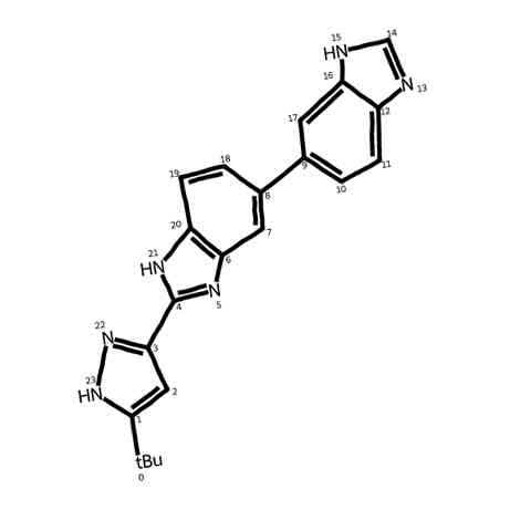 CC(C)(C)c1cc(-c2nc3cc(-c4ccc5nc[nH]c5c4)ccc3[nH]2)n[nH]1